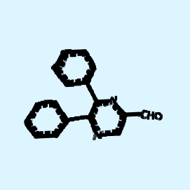 O=Cc1cnc(-c2ccccc2)c(-c2ccccc2)n1